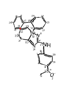 C[S+]([O-])c1ccc(NC2=N[N+]3(c4ccccc4-c4ccccc4)C=CN=CC3=N2)cc1